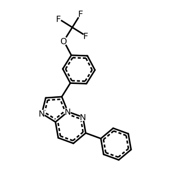 FC(F)(F)Oc1cccc(-c2cnc3ccc(-c4ccccc4)nn23)c1